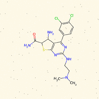 CN(C)CCNc1nc2c(c(-c3ccc(Cl)c(Cl)c3)n1)C(N)C(C(N)=O)S2